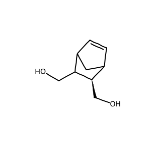 OCC1C2C=CC(C2)[C@H]1CO